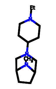 CCN1CCC(N2CC3CCC(C2)N3C)CC1